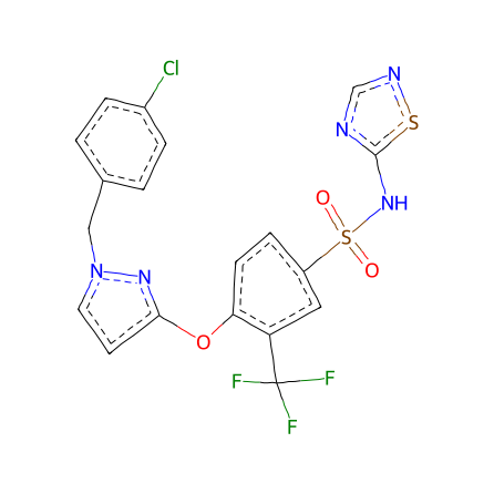 O=S(=O)(Nc1ncns1)c1ccc(Oc2ccn(Cc3ccc(Cl)cc3)n2)c(C(F)(F)F)c1